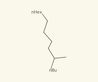 [CH2]CCCCCCCCCC(C)CCCC